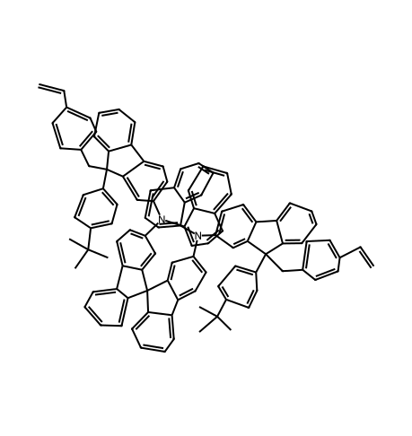 C=Cc1ccc(CC2(c3ccc(C(C)(C)C)cc3)c3ccccc3-c3ccc(N(c4ccc5c(c4)C4(c6ccccc6-5)c5ccccc5-c5ccc(N(c6ccc7c(c6)C(Cc6ccc(C=C)cc6)(c6ccc(C(C)(C)C)cc6)c6ccccc6-7)c6cccc7ccccc67)cc54)c4cccc5ccccc45)cc32)cc1